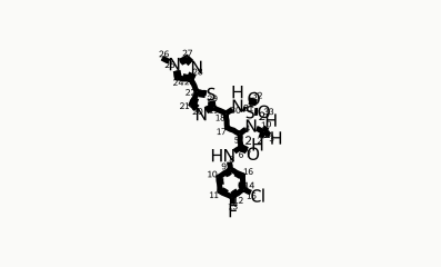 [2H]C([2H])([2H])N1C(C(=O)Nc2ccc(F)c(Cl)c2)CC(c2ncc(-c3cn(C)cn3)s2)NS1(=O)=O